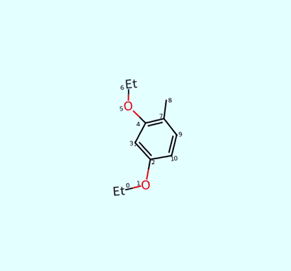 CCOc1[c]c(OCC)c(C)cc1